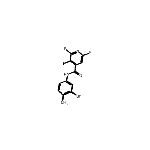 Cc1ccc(NC(=O)c2cc(F)nc(F)c2F)cc1Br